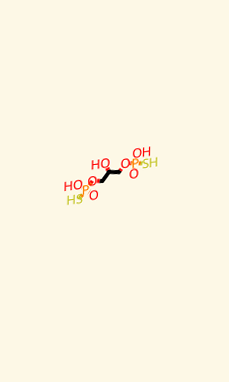 O=P(O)(S)OCC(O)COP(=O)(O)S